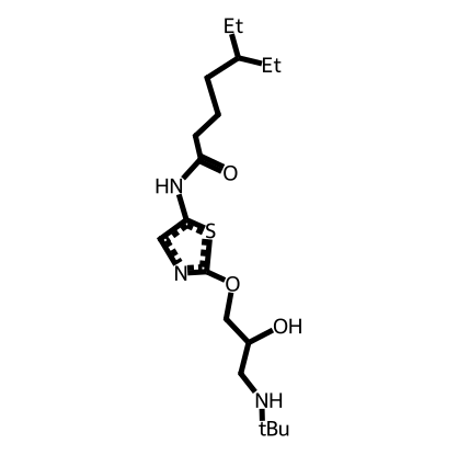 CCC(CC)CCCC(=O)Nc1cnc(OCC(O)CNC(C)(C)C)s1